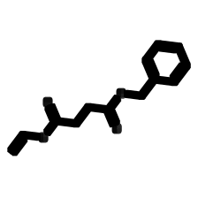 C=COC(=O)CCC(=O)OCc1ccccc1